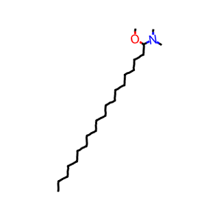 CCCCCCCCCCCCCCCCCCCC(OC)N(C)C